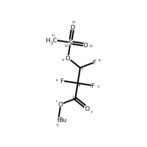 CC(C)(C)OC(=O)C(F)(F)C(F)OS(C)(=O)=O